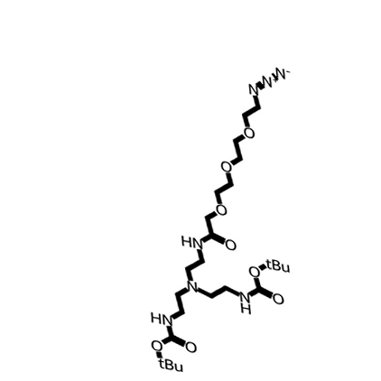 CC(C)(C)OC(=O)NCCN(CCNC(=O)COCCOCCOCCN=[N+]=[N-])CCNC(=O)OC(C)(C)C